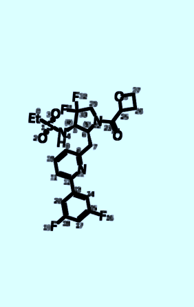 CCS(=O)(=O)N[C@@H]1[C@H](Cc2cccc(-c3cc(F)cc(F)c3)n2)N(C(=O)C2CCO2)CC1(F)F